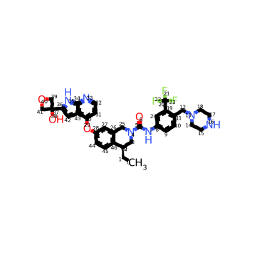 CC[C@@H]1CN(C(=O)Nc2ccc(CN3CCNCC3)c(C(F)(F)F)c2)Cc2cc(Oc3ccnc4[nH]c(C5(O)COC5)cc34)ccc21